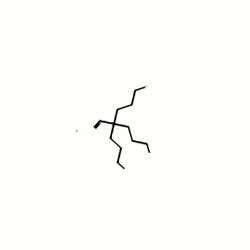 C=CC(CCCC)(CCCC)CCCC.[SnH2]